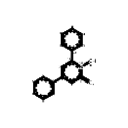 O=c1cc(-c2ccccc2)cc(-c2ccccc2)n1O